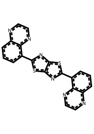 c1cc(-c2nc3sc(-c4cccc5nccnc45)nc3s2)c2nccnc2c1